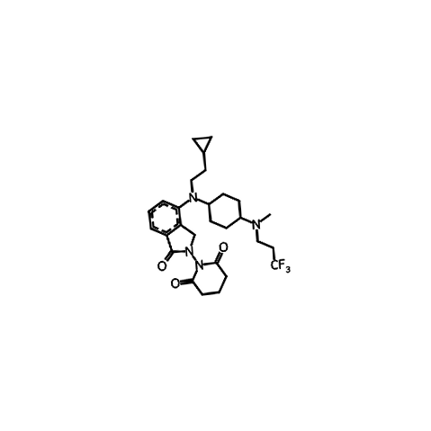 CN(CCC(F)(F)F)C1CCC(N(CCC2CC2)c2cccc3c2CN(N2C(=O)CCCC2=O)C3=O)CC1